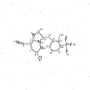 Cc1nc2c(C#N)cc(Cl)nn2c1Cc1cccc(C(F)(F)F)c1C